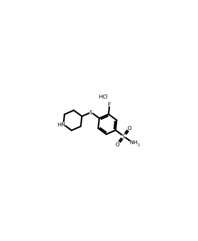 Cl.NS(=O)(=O)c1ccc(SC2CCNCC2)c(F)c1